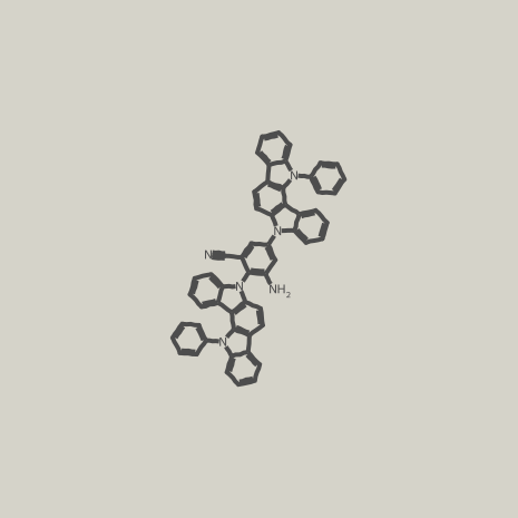 N#Cc1cc(-n2c3ccccc3c3c2ccc2c4ccccc4n(-c4ccccc4)c23)cc(N)c1-n1c2ccccc2c2c1ccc1c3ccccc3n(-c3ccccc3)c12